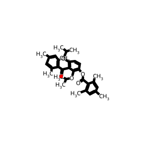 Cc1cc(C)c(C(=O)Oc2ccc(OC(C)C)c(C(=O)c3c(C)cc(C)cc3C)c2OC(C)C)c(C)c1